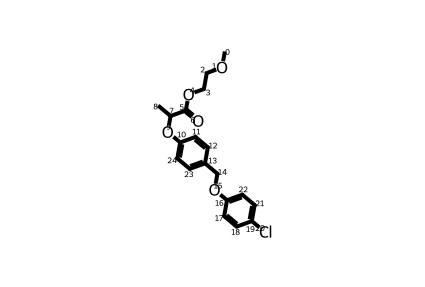 COCCOC(=O)C(C)Oc1ccc(COc2ccc(Cl)cc2)cc1